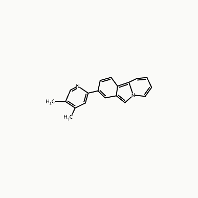 Cc1cnc(-c2ccc3c(c2)cn2ccccc32)cc1C